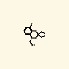 CCC1(CC)Oc2c(Cl)cccc2[C@H](CO)O1